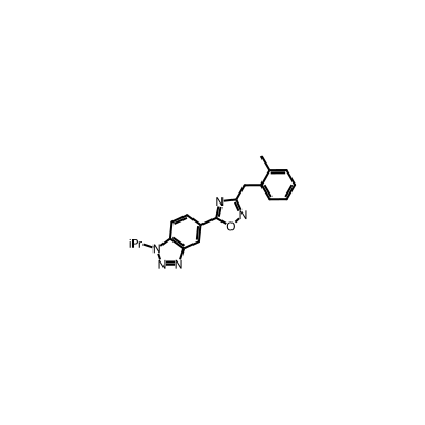 Cc1ccccc1Cc1noc(-c2ccc3c(c2)nnn3C(C)C)n1